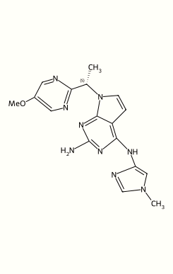 COc1cnc([C@H](C)n2ccc3c(Nc4cn(C)cn4)nc(N)nc32)nc1